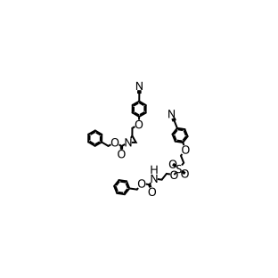 N#Cc1ccc(OCC2CN2C(=O)OCc2ccccc2)cc1.N#Cc1ccc(OCCS(=O)(=O)OCCNC(=O)OCc2ccccc2)cc1